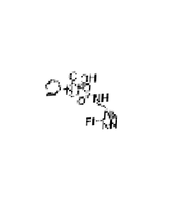 CCc1nnnn1CCNC(=O)O[C@@]1(O)CCN(c2ccccc2)C1=O